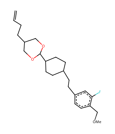 C=CCCC1COC(C2CCC(CCc3ccc(COC)c(F)c3)CC2)OC1